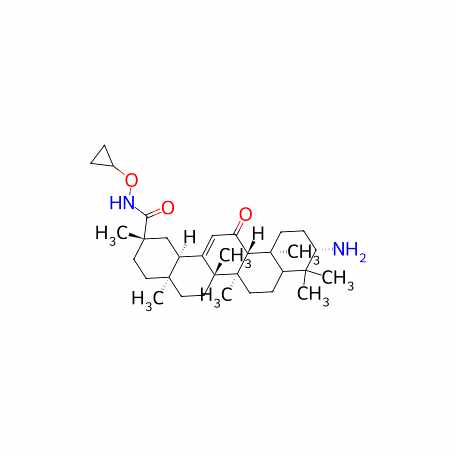 CC1(C)C2CC[C@]3(C)[C@H](C(=O)C=C4[C@@H]5C[C@@](C)(C(=O)NOC6CC6)CC[C@]5(C)CC[C@]43C)[C@@]2(C)CC[C@@H]1N